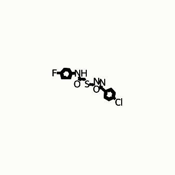 O=C(CSc1nnc(-c2ccc(Cl)cc2)o1)Nc1ccc(F)cc1